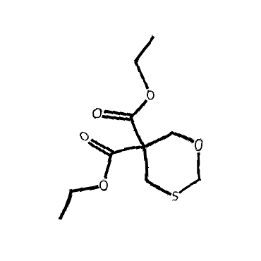 CCOC(=O)C1(C(=O)OCC)COCSC1